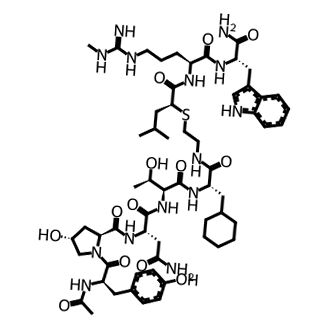 CNC(=N)NCCC[C@H](NC(=O)[C@H](CC(C)C)SCCNC(=O)[C@H](CC1CCCCC1)NC(=O)[C@@H](NC(=O)[C@H](CC(N)=O)NC(=O)[C@@H]1C[C@@H](O)CN1C(=O)[C@@H](Cc1ccc(O)cc1)NC(C)=O)[C@@H](C)O)C(=O)N[C@@H](Cc1c[nH]c2ccccc12)C(N)=O